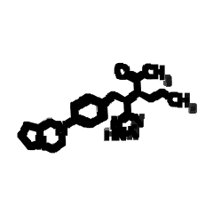 CCC[C@H](C(C)=O)[C@H](Cc1ccc(N2CCN3CCCC3C2)cc1)c1nn[nH]n1